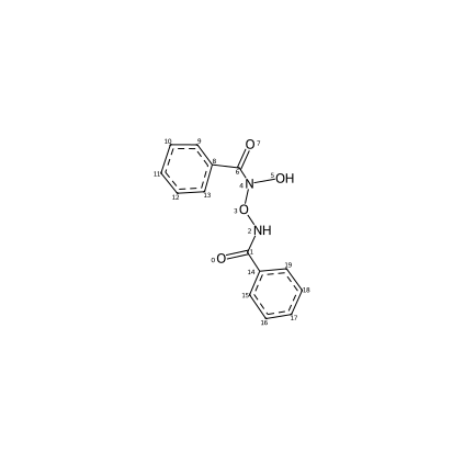 O=C(NON(O)C(=O)c1ccccc1)c1ccccc1